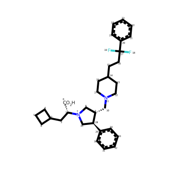 O=C(O)[C@@H](CC1CCC1)N1C[C@H](CN2CCC(CCC(F)(F)c3ccccc3)CC2)[C@@H](c2ccccc2)C1